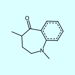 CC1CCN(C)c2ccccc2C1=O